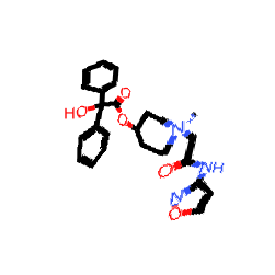 C[N+]1(CC(=O)Nc2ccon2)CCC(OC(=O)C(O)(c2ccccc2)c2ccccc2)CC1